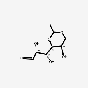 CC1OC[C@@H](O)[C@@H]([C@H](O)[C@@H](O)C=O)O1